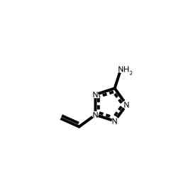 C=Cn1nnc(N)n1